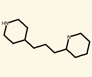 C1CCC(CCCC2CCNCC2)[N]C1